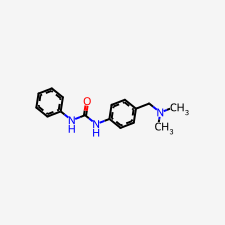 CN(C)Cc1ccc(NC(=O)Nc2ccccc2)cc1